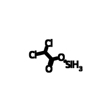 O=C(O[SiH3])C(Cl)Cl